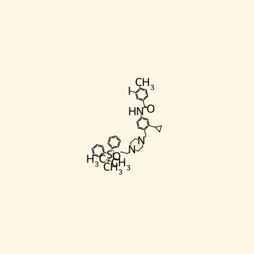 Cc1ccc(C(=O)Nc2ccc(CN3CCN(CCO[Si](c4ccccc4)(c4ccccc4)C(C)(C)C)CC3)c(C3CC3)c2)cc1I